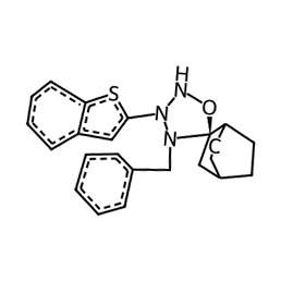 c1ccc(CN2N(c3cc4ccccc4s3)NO[C@@]23CC2CCC3CC2)cc1